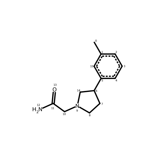 Cc1cccc(C2CCN(CC(N)=O)C2)c1